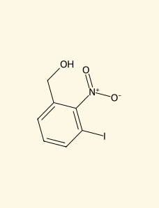 O=[N+]([O-])c1c(I)cccc1CO